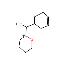 CC(C1CC=CCC1)[SiH]1CCCCO1